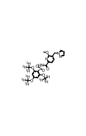 [2H]C([2H])([2H])Oc1cc(OC([2H])([2H])[2H])c(S(=O)(=O)NC(=O)c2ccc(Cn3cccn3)c(OC)n2)c(OC([2H])([2H])[2H])c1